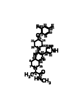 CNC(=O)C(C)N1CCc2nc(N3CCC(Oc4ccc(F)cc4F)CC3)c(-c3cn[nH]c3)nc2C1